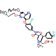 COCCOc1nc2c(Oc3ccc(NC(=O)c4cn(C)c(CO)c(-c5ccc(F)cc5)c4=O)cc3F)ccnc2cc1OC